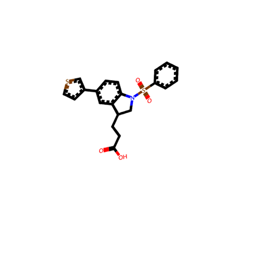 O=C(O)CCC1CN(S(=O)(=O)c2ccccc2)c2ccc(-c3ccsc3)cc21